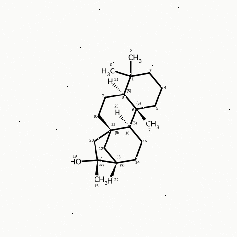 CC1(C)CCC[C@@]2(C)[C@H]1CC[C@]13C[C@H](CC[C@@H]12)[C@](C)(O)C3